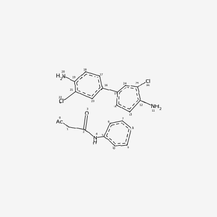 CC(=O)CC(=O)Nc1ccccc1.Nc1ccc(-c2ccc(N)c(Cl)c2)cc1Cl